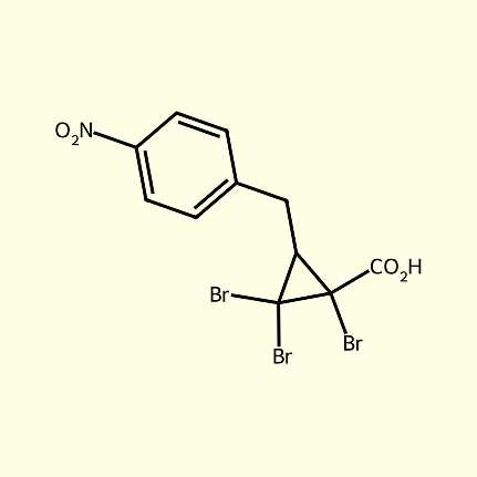 O=C(O)C1(Br)C(Cc2ccc([N+](=O)[O-])cc2)C1(Br)Br